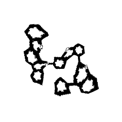 c1ccc(-c2cc(-c3cccc4oc5cc(-n6c7ccccc7c7ccc8c9ccccc9oc8c76)ccc5c34)nc3ccccc23)cc1